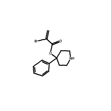 C=C(Br)C(=O)OC1(c2ccccc2)CCNCC1